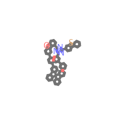 c1ccc(-c2cccc(-c3nc(-c4ccc5c(c4)sc4ccccc45)nc(-c4cccc5oc6ccc(-c7ccc(-c8ccc9c(c8)-c8ccccc8C98c9ccccc9-c9ccccc98)cc7)cc6c45)n3)c2)cc1